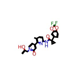 C=C(O)Cn1ccc(-c2nc(NC(=O)C3(c4ccc5c(c4)OC(F)(F)O5)CC3)ccc2C)cc1=O